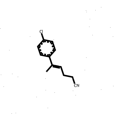 CC(=CCCC#N)c1ccc(Cl)cc1